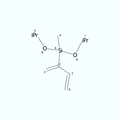 C=CC(=C)[Si](C)(OC(C)C)OC(C)C